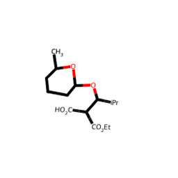 CCOC(=O)C(C(=O)O)C(OC1CCCC(C)O1)C(C)C